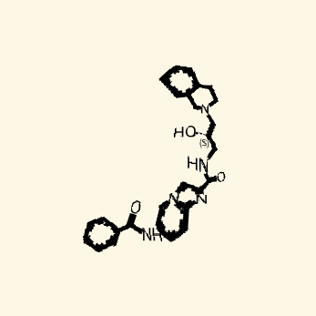 O=C(Nc1ccc2nc(C(=O)NC[C@H](O)CN3CCc4ccccc4C3)cn2c1)c1ccccc1